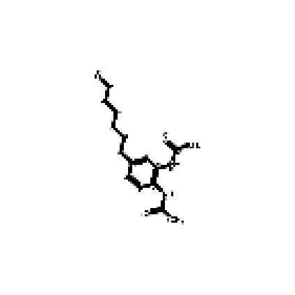 CC(=O)Nc1ccc(CCCCCC[O])cc1NC(C)=O